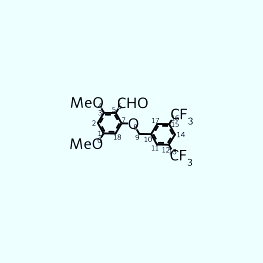 COc1cc(OC)c(C=O)c(OCc2cc(C(F)(F)F)cc(C(F)(F)F)c2)c1